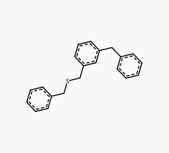 [c]1c(CSCc2ccccc2)cccc1Cc1ccccc1